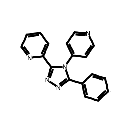 [c]1ccc(-c2nnc(-c3ccccn3)n2-c2ccncc2)cc1